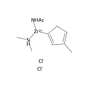 CC(=O)[NH][Zr+2]([C]1=CC(C)=CC1)[SiH](C)C.[Cl-].[Cl-]